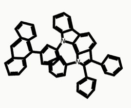 c1ccc(-c2c(-c3ccccc3)n(-c3ccccc3)c3c2ccc2c4ccccc4n(-c4cccc(-c5c6ccccc6cc6ccccc56)c4)c23)cc1